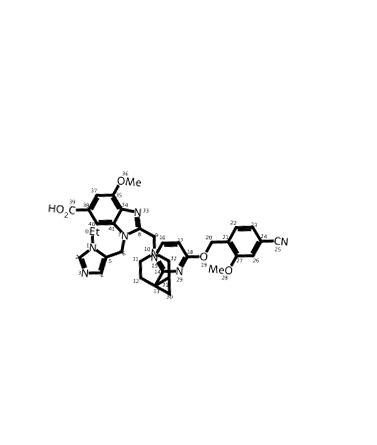 CCn1cncc1Cn1c(CN2CCC3(c4nccc(OCc5ccc(C#N)cc5OC)n4)CC3C2)nc2c(OC)cc(C(=O)O)cc21